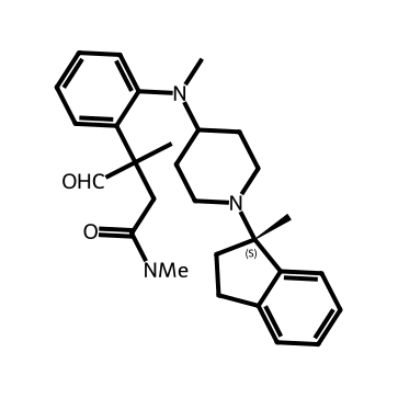 CNC(=O)CC(C)(C=O)c1ccccc1N(C)C1CCN([C@@]2(C)CCc3ccccc32)CC1